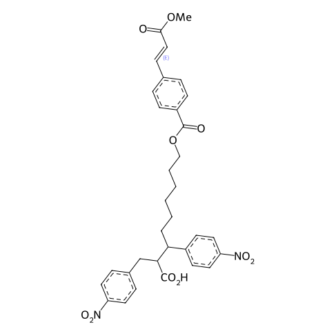 COC(=O)/C=C/c1ccc(C(=O)OCCCCCCC(c2ccc([N+](=O)[O-])cc2)C(Cc2ccc([N+](=O)[O-])cc2)C(=O)O)cc1